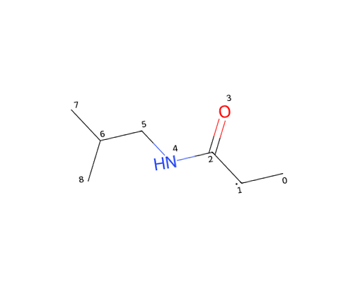 C[CH]C(=O)NCC(C)C